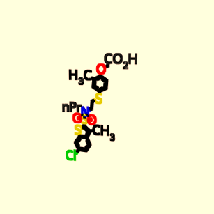 CCCN(CCSc1ccc(OCC(=O)O)c(C)c1)S(=O)(=O)c1sc2cc(Cl)ccc2c1C